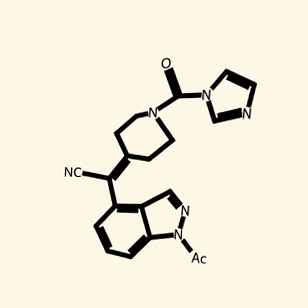 CC(=O)n1ncc2c(C(C#N)=C3CCN(C(=O)n4ccnc4)CC3)cccc21